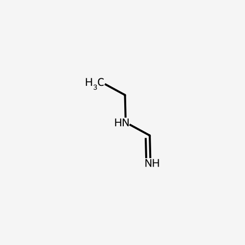 CCNC=N